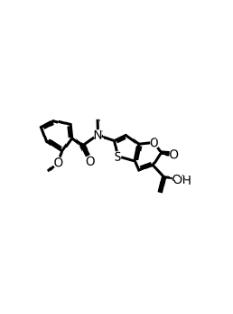 C=C(O)c1cc2sc(N(C)C(=O)c3ccccc3OC)cc2oc1=O